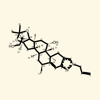 C=CCn1cc2c(n1)C=C1[C@@H](F)C[C@@H]3[C@H]([C@@H](O)C[C@@]4(C)[C@H]3C[C@H]3OC(C)(C)O[C@]34C(=O)CO)[C@@]1(C)C2